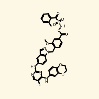 COc1cc(C(=O)ONS(=O)(=O)C(=O)c2ccccc2C)ccc1Cn1ncc2cc(Nc3ncc(F)c(Nc4ccc5c(c4)OCCO5)n3)ccc21